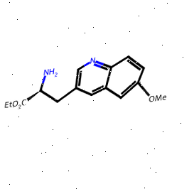 CCOC(=O)[C@@H](N)Cc1cnc2ccc(OC)cc2c1